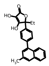 CCC1(c2ccc(-c3cc(C)cc4ccccc34)cc2)OC(=O)C(O)=C1O